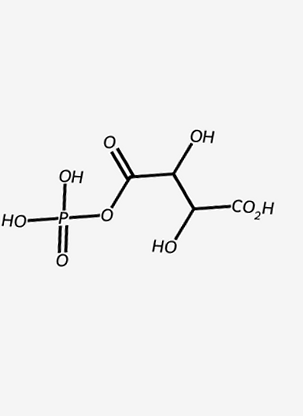 O=C(O)C(O)C(O)C(=O)OP(=O)(O)O